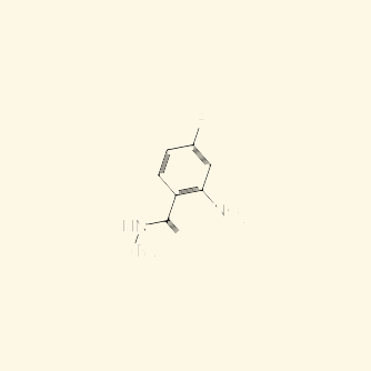 CC(C)(C)NC(=O)c1ccc(F)cc1[N+](=O)[O-]